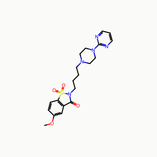 COc1ccc2c(c1)C(=O)N(CCCCN1CCN(c3ncccn3)CC1)S2(=O)=O